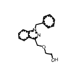 OCCOCc1nn(Cc2ccccc2)c2ccccc12